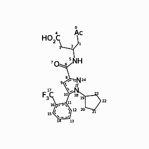 CC(=O)CC(CC(=O)O)NC(=O)c1cc(-c2ccccc2C(F)(F)F)n(C2CCCC2)n1